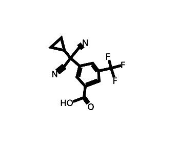 N#CC(C#N)(c1cc(C(=O)O)cc(C(F)(F)F)c1)C1CC1